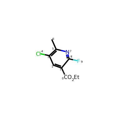 CCOC(=O)c1cc(Cl)c(C)nc1F